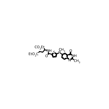 CCOC(=O)CCC(NC(=O)c1ccc(N(C)c2ccc3nc(C)[nH]c(=O)c3c2)s1)C(=O)OCC